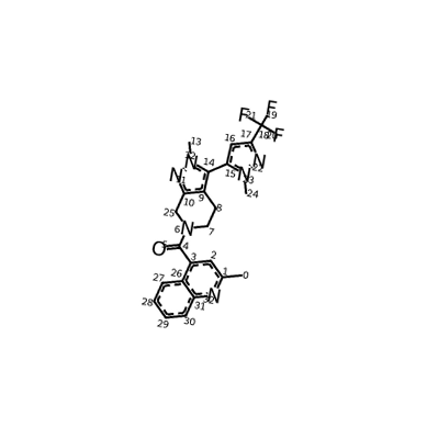 Cc1cc(C(=O)N2CCc3c(nn(C)c3-c3cc(C(F)(F)F)nn3C)C2)c2ccccc2n1